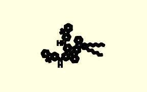 CCCCCCCCC1(CCCCCCCC)c2ccccc2-c2cc3c(cc21)-c1ccccc1C3(c1ccc(Nc2ccc3c(c2)C(C)(C)c2ccccc2-3)cc1)c1ccc(Nc2ccc3c(c2)C(C)(C)c2ccccc2-3)cc1